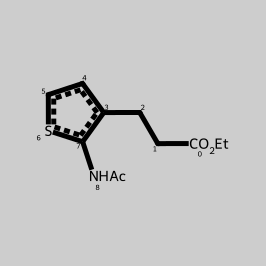 CCOC(=O)CCc1ccsc1NC(C)=O